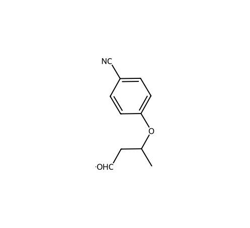 CC(C[C]=O)Oc1ccc(C#N)cc1